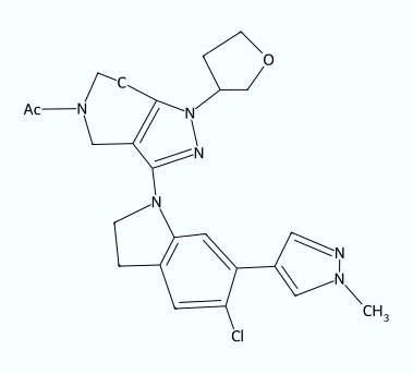 CC(=O)N1CCc2c(c(N3CCc4cc(Cl)c(-c5cnn(C)c5)cc43)nn2C2CCOC2)C1